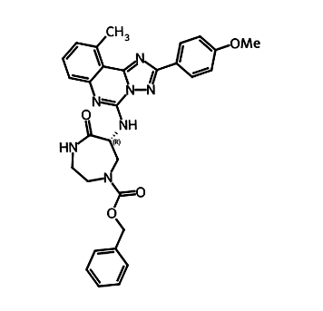 COc1ccc(-c2nc3c4c(C)cccc4nc(N[C@@H]4CN(C(=O)OCc5ccccc5)CCNC4=O)n3n2)cc1